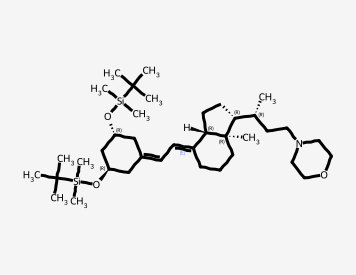 C[C@H](CCN1CCOCC1)[C@H]1CC[C@H]2/C(=C/C=C3C[C@@H](O[Si](C)(C)C(C)(C)C)C[C@H](O[Si](C)(C)C(C)(C)C)C3)CCC[C@]12C